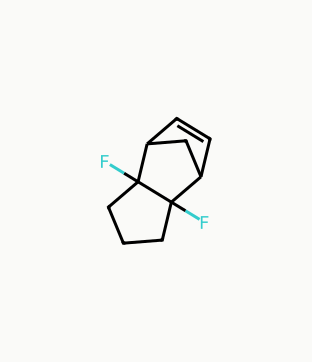 FC12CCCC1(F)C1C=CC2C1